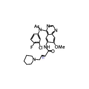 COc1cc2ncnc(N(C(C)=O)c3ccc(F)c(Cl)c3)c2cc1NC(=O)/C=C/CN1CCCCC1